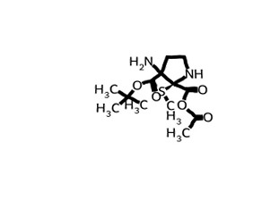 CS[C@]1(C(=O)OC(C)=O)NCCC1(N)C(=O)OC(C)(C)C